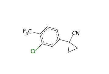 N#CC1(c2ccc(C(F)(F)F)c(Cl)c2)CC1